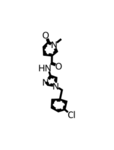 Cn1cc(C(=O)Nc2cn(Cc3cccc(Cl)c3)cn2)ccc1=O